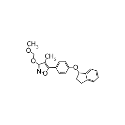 COCOc1noc(-c2ccc(OC3CCc4ccccc43)cc2)c1C